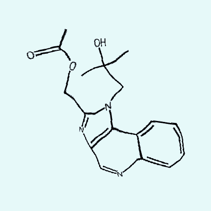 CC(=O)OCc1nc2cnc3ccccc3c2n1CC(C)(C)O